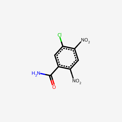 NC(=O)c1cc(Cl)c([N+](=O)[O-])cc1[N+](=O)[O-]